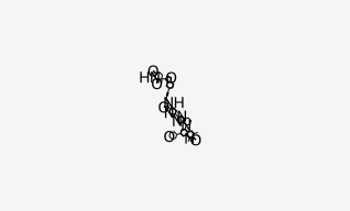 Cc1cc2c(N3CCCc4nc(-c5ccc(C(=O)NCC#Cc6ccc7occ(C8(C)CCC(=O)NC8=O)c7c6)nc5)ncc43)cc(C3CCOCC3)cc2n(C)c1=O